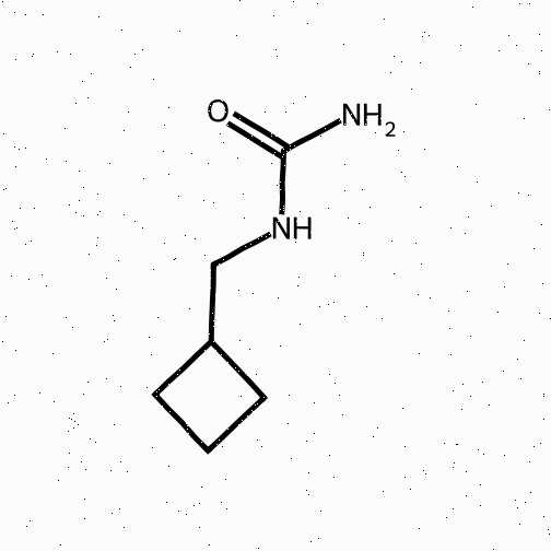 NC(=O)NCC1CCC1